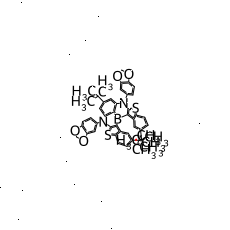 CC(C)(C)c1cc2c3c(c1)N(c1ccc4c(c1)OCO4)c1sc4ccc(C(C)(C)C)cc4c1B3c1c(sc3ccc(C(C)(C)C)cc13)N2c1ccc2c(c1)OCO2